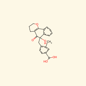 Cc1cc(B(O)O)ccc1CC1(O)C(=O)C2=C(OCCC2)c2ccccc21